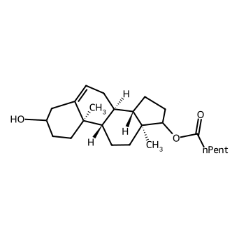 CCCCCC(=O)OC1CC[C@H]2[C@@H]3CC=C4CC(O)CC[C@]4(C)[C@H]3CC[C@]12C